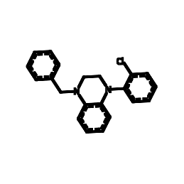 Clc1ccccc1N1CCN(Cc2ccccc2)c2ccccc21